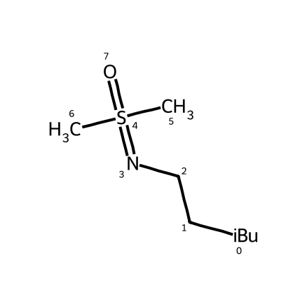 CCC(C)CCN=S(C)(C)=O